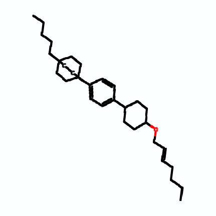 CCCCC=CCOC1CCC(c2ccc(C34CCC(CCCCC)(CC3)CC4)cc2)CC1